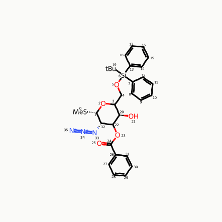 CS[C@@H]1OC(CO[Si](c2ccccc2)(c2ccccc2)C(C)(C)C)[C@@H](O)C(OC(=O)c2ccccc2)[C@@H]1N=[N+]=[N-]